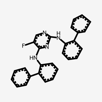 Fc1cnc(Nc2ccccc2-c2ccccc2)nc1Nc1ccccc1-c1ccccc1